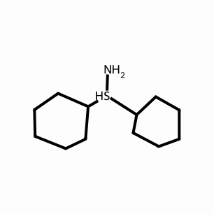 N[SH](C1CCCCC1)C1CCCCC1